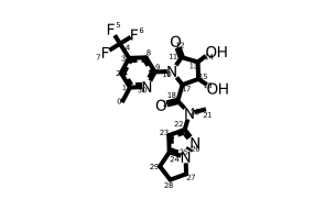 Cc1cc(C(F)(F)F)cc(N2C(=O)C(O)C(O)C2C(=O)N(C)c2cc3n(n2)CCC3)n1